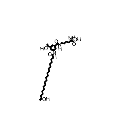 C=C(O)CCCCCCCCCCCCCCCCCCC(=O)Nc1cc(C(=C)O)cc(C(=O)NCCCC[C@H](N)C(=O)O)c1